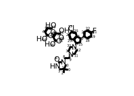 CC1(C)CNC(=O)N(CCN2CCN([C@H]3C[C@H](c4ccc(F)cc4)c4cc(Cl)ccc43)CC2)C1.O=C(O)/C=C\C(=O)O.O=C(O)/C=C\C(=O)O